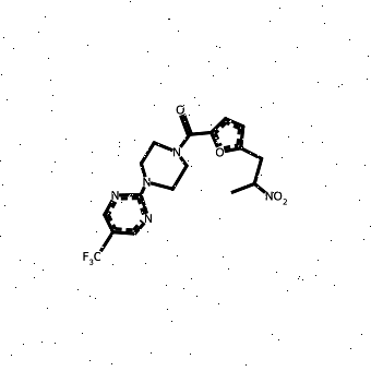 CC(Cc1ccc(C(=O)N2CCN(c3ncc(C(F)(F)F)cn3)CC2)o1)[N+](=O)[O-]